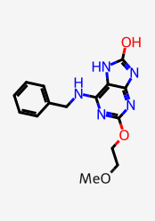 COCCOc1nc(NCc2ccccc2)c2[nH]c(O)nc2n1